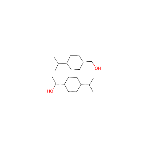 CC(C)C1CCC(C(C)O)CC1.CC(C)C1CCC(CO)CC1